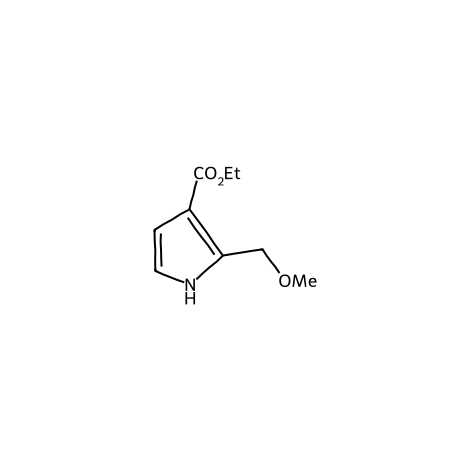 CCOC(=O)c1cc[nH]c1COC